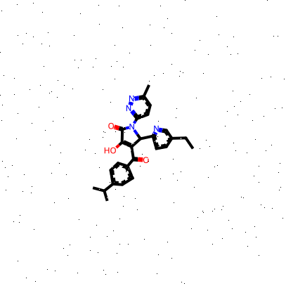 CCc1ccc(C2C(C(=O)c3ccc(C(C)C)cc3)=C(O)C(=O)N2c2ccc(C)nn2)nc1